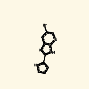 Brc1cnc2[nH]c(-c3ccc[nH]3)nc2c1